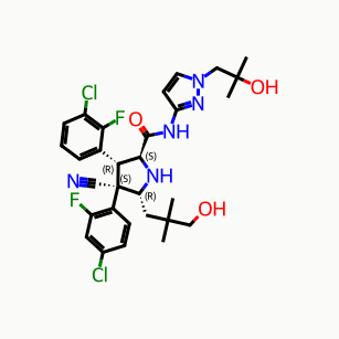 CC(C)(O)Cn1ccc(NC(=O)[C@H]2N[C@H](CC(C)(C)CO)[C@@](C#N)(c3ccc(Cl)cc3F)[C@@H]2c2cccc(Cl)c2F)n1